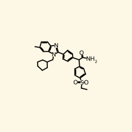 CCS(=O)(=O)c1ccc(C(C(N)=O)c2ccc(-c3nc4ccc(C)cc4n3CC3CCCCC3)cc2)cc1